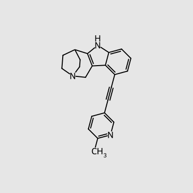 Cc1ccc(C#Cc2cccc3[nH]c4c(c23)CN2CCC4CC2)cn1